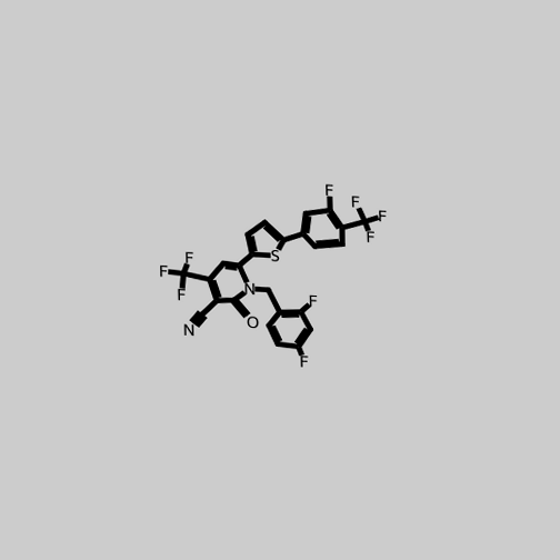 N#Cc1c(C(F)(F)F)cc(-c2ccc(-c3ccc(C(F)(F)F)c(F)c3)s2)n(Cc2ccc(F)cc2F)c1=O